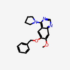 COc1cc2ncnc(N3CCCC3)c2cc1OCc1ccccc1